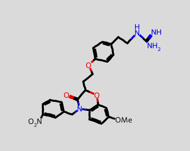 COc1ccc2c(c1)OC(CCOc1ccc(CCNC(=N)N)cc1)C(=O)N2Cc1cccc([N+](=O)[O-])c1